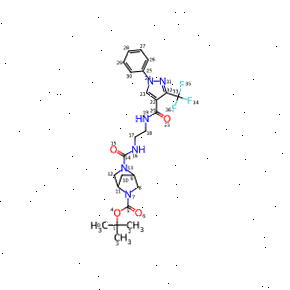 CC(C)(C)OC(=O)N1CC2CC1CN2C(=O)NCCNC(=O)c1cn(-c2ccccc2)nc1C(F)(F)F